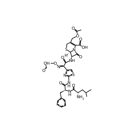 CO/N=C(\C(=O)N[C@@H]1C(=O)N2C(C(=O)O)=C(COC(C)=O)CS[C@H]12)c1csc(NC(=O)[C@H](Cc2ccccc2)NC(=O)[C@@H](N)CC(C)C)n1.O=CO